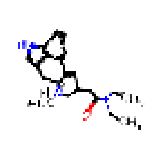 CCN(CC)C(=O)CC1C=C2c3cccc4[nH]cc(c34)C[C@@H]2N(C)C1